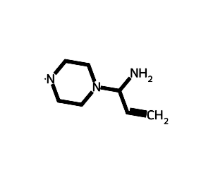 C=CC(N)N1CC[N]CC1